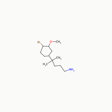 COC1CC(C(C)(C)CCCN)CCC1Br